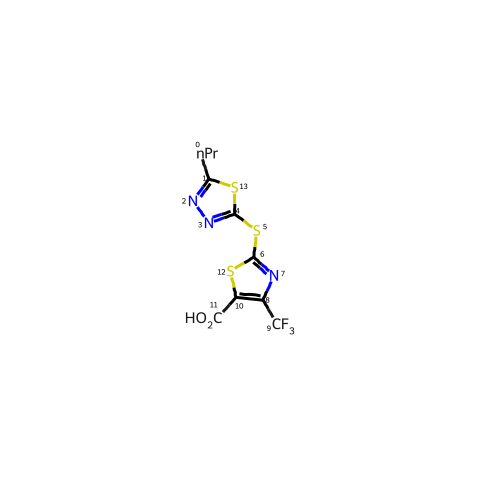 CCCc1nnc(Sc2nc(C(F)(F)F)c(C(=O)O)s2)s1